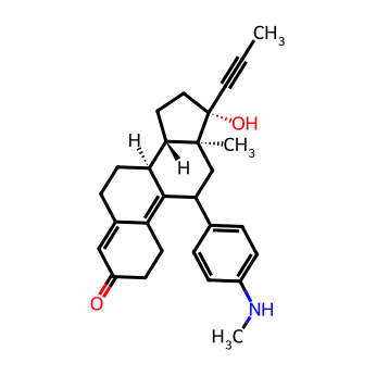 CC#C[C@]1(O)CC[C@H]2[C@@H]3CCC4=CC(=O)CCC4=C3C(c3ccc(NC)cc3)C[C@@]21C